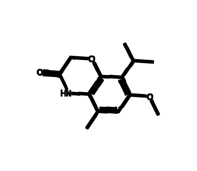 COc1cc(C)c2c(c1C(C)C)OCC(=O)N2